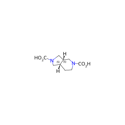 O=C(O)N1CC[C@@H]2CN(C(=O)O)C[C@@H]2C1